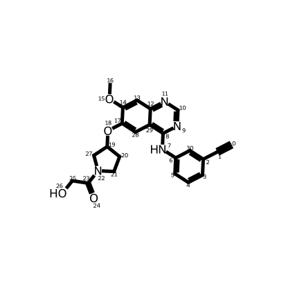 C#Cc1cccc(Nc2ncnc3cc(OC)c(OC4CCN(C(=O)CO)C4)cc23)c1